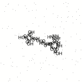 CN1C(=O)[C@@H](Cc2ccc(O)cc2)NC(=O)CNC(=O)[C@H](Cc2ccc3ccccc3c2)NC(=O)[C@H](CCCNC(=N)N)NC(=O)[C@H]1CCCNC(=O)CNC(=O)COCCOCCNC(=O)CN1CCN(CC(=O)O)CCN(CC(=O)O)CCN(CC(=O)O)CC1